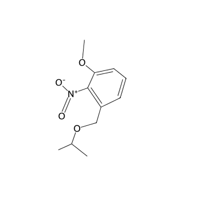 COc1cccc(COC(C)C)c1[N+](=O)[O-]